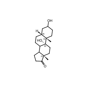 C[C@]12CCC(O)C[C@H]1CCC1C3CCC(=O)[C@@]3(C)CC[C@@]12O